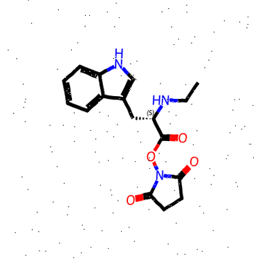 CCN[C@@H](Cc1c[nH]c2ccccc12)C(=O)ON1C(=O)CCC1=O